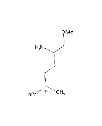 CCC[C@@H](C)CCC(N)COC